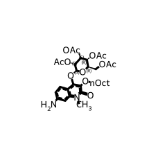 CCCCCCCCOc1c(O[C@@H]2O[C@H](COC(C)=O)[C@@H](OC(C)=O)[C@H](OC(C)=O)[C@H]2OC(C)=O)c2ccc(N)cc2n(C)c1=O